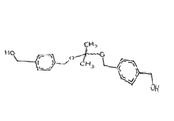 CC(C)(OCc1ccc(CO)cc1)OCc1ccc(CO)cc1